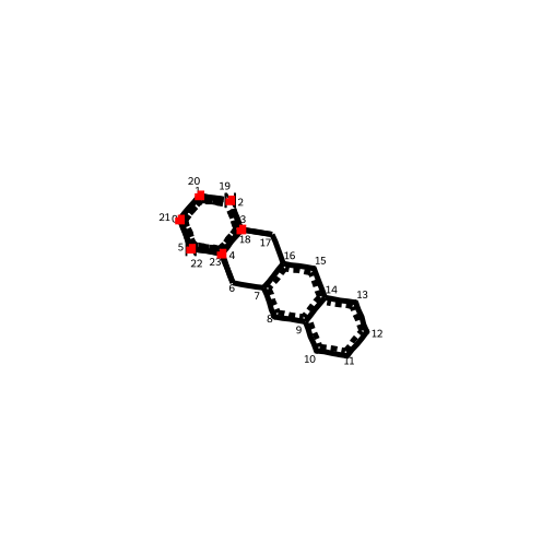 c1cnc2c(c1)C1c3cc4ccccc4cc3C2c2nccnc21